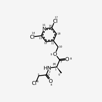 C[C@@H](NC(=O)CCl)C(=O)OCc1cc(Cl)nc(Cl)c1